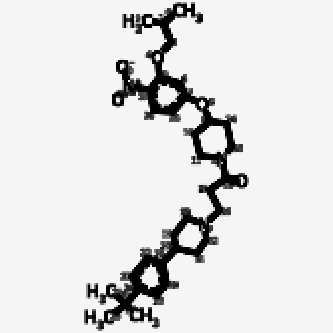 CC(C)COc1cc(OC2CCN(C(=O)CCN3CCC(c4ccc(C(C)(C)C)cc4)CC3)CC2)ccc1[N+](=O)[O-]